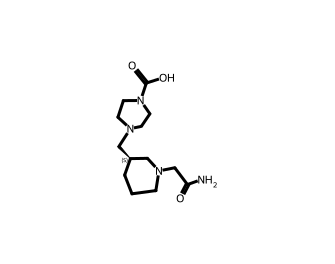 NC(=O)CN1CCC[C@@H](CN2CCN(C(=O)O)CC2)C1